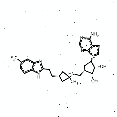 C[C@]1(NC[C@H]2C[C@@H](n3ccc4c(N)ncnc43)[C@H](O)[C@@H]2O)C[C@H](CCc2nc3cc(C(F)(F)F)ccc3[nH]2)C1